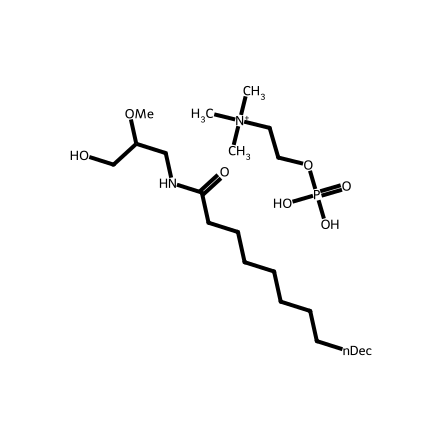 CCCCCCCCCCCCCCCCCC(=O)NCC(CO)OC.C[N+](C)(C)CCOP(=O)(O)O